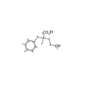 CCOC(=O)C(C)(CCO)Cc1ccccc1